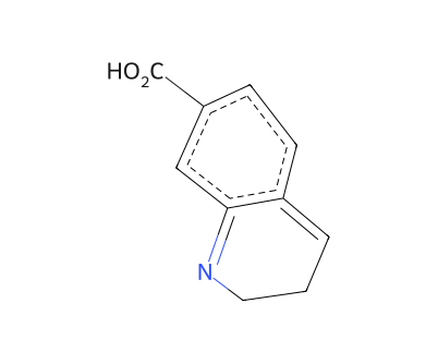 O=C(O)c1ccc2c(c1)=NCCC=2